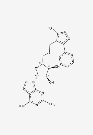 Cc1nc(N)c2ccn([C@@H]3O[C@H](CSCc4c(C)noc4-c4ccccc4)[C@@H](O)[C@H]3O)c2n1